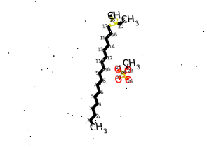 CCCCCCCCCCCCCCCCCC[S+](C)CC.COS(=O)(=O)[O-]